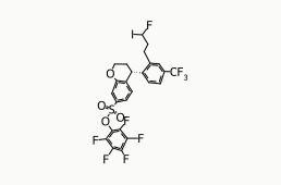 O=S(=O)(Oc1c(F)c(F)c(F)c(F)c1F)c1ccc2c(c1)OCC[C@@H]2c1ccc(C(F)(F)F)cc1CCC(F)I